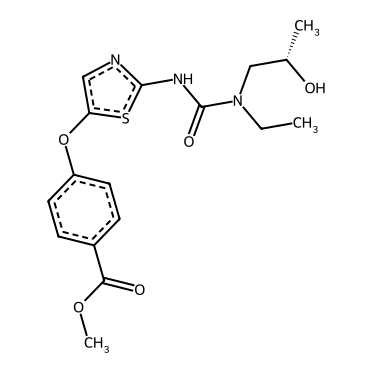 CCN(C[C@H](C)O)C(=O)Nc1ncc(Oc2ccc(C(=O)OC)cc2)s1